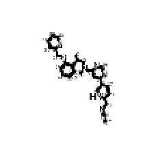 CC(CN(N)c1cc(C2=CNC(CN=[N+]=[N-])C=C2)ncn1)c1ccccc1OCc1ccccn1